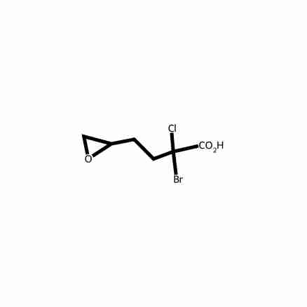 O=C(O)C(Cl)(Br)CCC1CO1